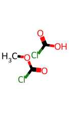 COC(=O)Cl.O=C(O)Cl